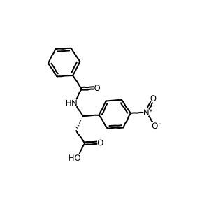 O=C(O)C[C@H](NC(=O)c1ccccc1)c1ccc([N+](=O)[O-])cc1